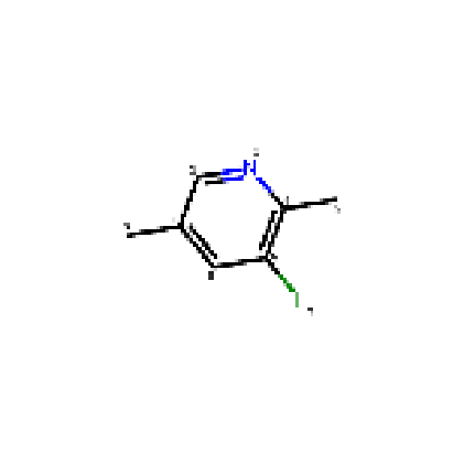 Cc1cnc(C)c(F)c1